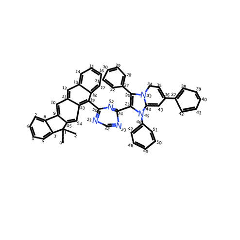 CC1(C)c2ccccc2-c2cc3cc4ccccc4c(-c4ncnc(C5=C(c6ccccc6)N6CC=C(c7ccccc7)C=C6N5c5ccccc5)n4)c3cc21